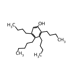 CCCCCc1c(CCCC)cc(O)c(CCCC)c1CCCC